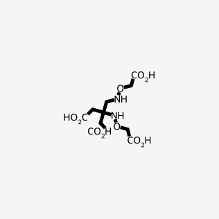 O=C(O)CONCC(CC(=O)O)(CC(=O)O)NOCC(=O)O